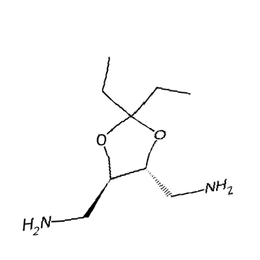 CCC1(CC)O[C@H](CN)[C@@H](CN)O1